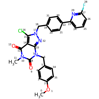 COc1ccc(Cn2c(=O)n(C)c(=O)c3c(Cl)n(Cc4ccc(-c5cccc(F)n5)cc4)nc32)cc1